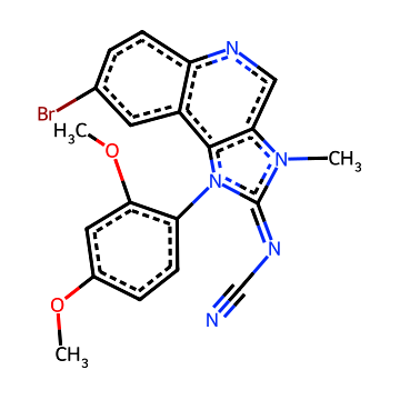 COc1ccc(-n2c(=NC#N)n(C)c3cnc4ccc(Br)cc4c32)c(OC)c1